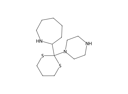 C1CCNC(C2(N3CCNCC3)SCCCS2)CC1